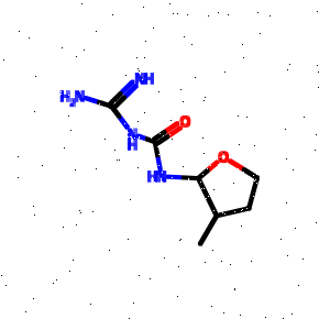 CC1CCOC1NC(=O)NC(=N)N